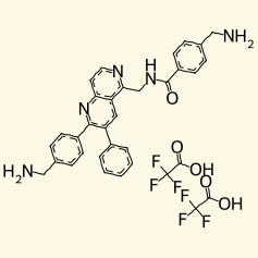 NCc1ccc(C(=O)NCc2nccc3nc(-c4ccc(CN)cc4)c(-c4ccccc4)cc23)cc1.O=C(O)C(F)(F)F.O=C(O)C(F)(F)F